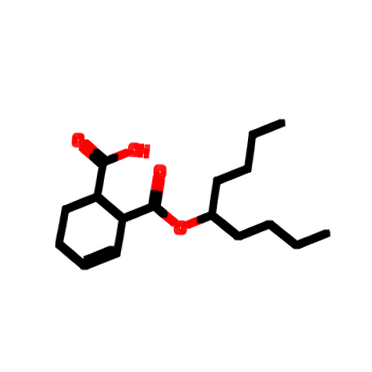 CCCCC(CCCC)OC(=O)C1C=CCCC1C(=O)O